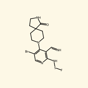 N=Cc1c(NSF)ncc(Br)c1N1CCC2(CCNC2=O)CC1